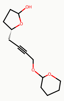 OC1CC[C@@H](CC#CCOC2CCCCO2)O1